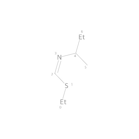 CCS/C=N\C(C)CC